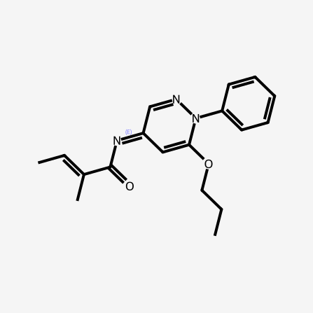 CC=C(C)C(=O)/N=c1/cnn(-c2ccccc2)c(OCCC)c1